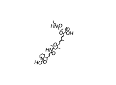 CCCNC(=O)C[C@@H]1C[C@@]2(CO2)[C@H](O)[C@@H](/C=C/C(C)=C/C[C@@H]2O[C@H](C)[C@H](NC(=O)/C=C/C(C)[C@@H]3CCCCN3C(=O)O)C[C@@H]2C)O1